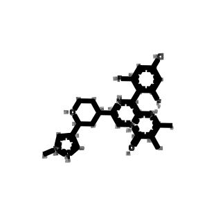 Cc1nc2c(-c3c(F)cc(Cl)cc3F)nc(C3CCOC(c4cnn(C)c4)C3)cn2c(=O)c1C